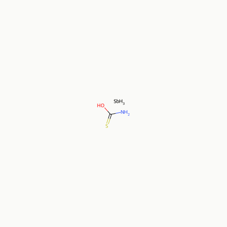 NC(O)=S.[SbH3]